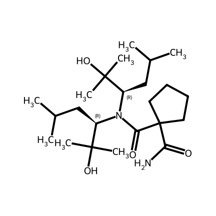 CC(C)C[C@@H](N(C(=O)C1(C(N)=O)CCCC1)[C@H](CC(C)C)C(C)(C)O)C(C)(C)O